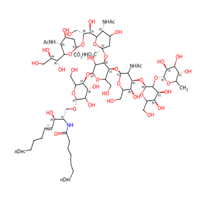 CCCCCCCCCCCCC/C=C/[C@@H](O)[C@H](CO[C@@H]1OC(CO)[C@@H](O[C@@H]2OC(CO)[C@H](O[C@@H]3OC(CO)[C@H](O)[C@H](O[C@@H]4OC(CO)[C@H](O)[C@H](O)C4O[C@H]4OC(C)[C@@H](O)C(O)[C@@H]4O)C3NC(C)=O)[C@H](O[C@]3(C(=O)O)CC(O)[C@@H](NC(C)=O)C([C@H](O)[C@@H](CO)O[C@]4(C(=O)O)CC(O)[C@@H](NC(C)=O)C([C@H](O)[C@H](O)CO)O4)O3)C2O)[C@H](O)C1O)NC(=O)CCCCCCCCCCCCCCC